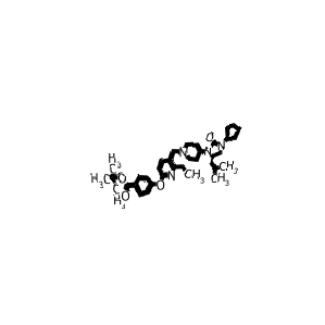 CCc1nc(Oc2ccc(C(=O)OC(C)(C)C)cc2)ccc1CN1CCC(N2C(=O)N(C3CCCC3)C[C@H]2CC(C)C)CC1